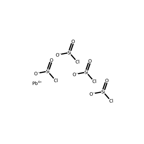 O=[Si]([O-])Cl.O=[Si]([O-])Cl.O=[Si]([O-])Cl.O=[Si]([O-])Cl.[Pb+4]